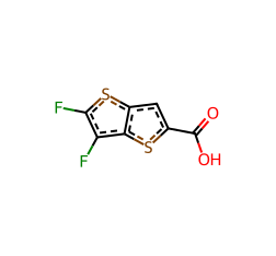 O=C(O)c1cc2sc(F)c(F)c2s1